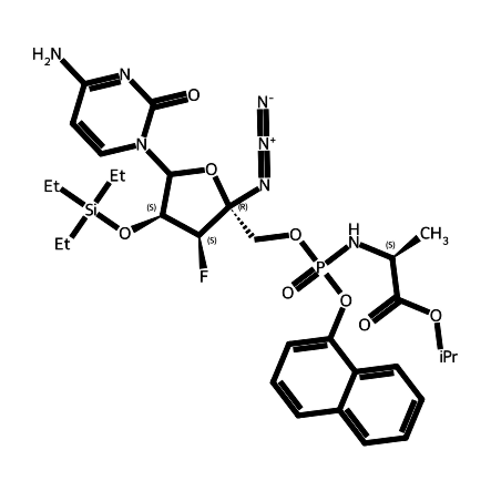 CC[Si](CC)(CC)O[C@H]1C(n2ccc(N)nc2=O)O[C@@](COP(=O)(N[C@@H](C)C(=O)OC(C)C)Oc2cccc3ccccc23)(N=[N+]=[N-])[C@H]1F